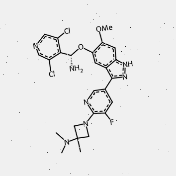 COc1cc2[nH]nc(-c3cnc(N4CC(C)(N(C)C)C4)c(F)c3)c2cc1O[C@H](N)c1c(Cl)cncc1Cl